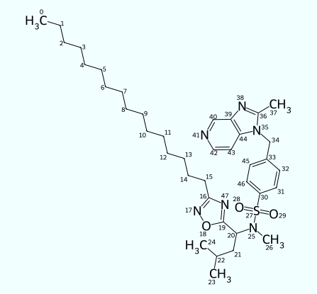 CCCCCCCCCCCCCCCCc1noc(C(CC(C)C)N(C)S(=O)(=O)c2ccc(Cn3c(C)nc4cnccc43)cc2)n1